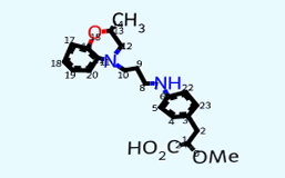 COC(Cc1ccc(NCCCN2CC(C)Oc3ccccc32)cc1)C(=O)O